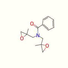 CC1(CN(CC2(C)CO2)C(=O)c2ccccc2)CO1